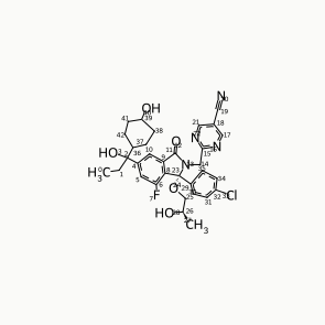 CCC(O)(c1cc(F)c2c(c1)C(=O)N(Cc1ncc(C#N)cn1)[C@@]2(OC[C@@H](C)O)c1ccc(Cl)cc1)C1CCC(O)CC1